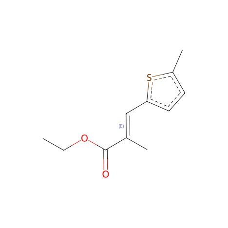 CCOC(=O)/C(C)=C/c1ccc(C)s1